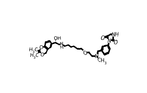 CN(CCOCCCCCCNC[C@@H](O)c1ccc2c(c1)COC(C)(C)O2)Cc1cccc(N2C(=O)CNC2=O)c1